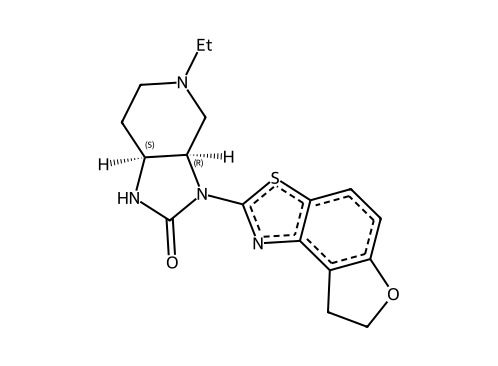 CCN1CC[C@@H]2NC(=O)N(c3nc4c5c(ccc4s3)OCC5)[C@@H]2C1